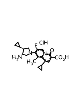 Cc1c(N2C[C@@H](N)[C@@H](C3CC3)C2)c(F)cn2c(=O)c(C(=O)O)cc(C3CC3)c12.Cl